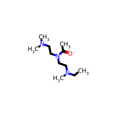 CCN(C)CCN(CCN(C)C)C(C)=O